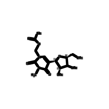 CC(=O)OC[C@H]1O[C@@H](c2cn(COC(=O)C(C)(C)C)c(=O)n(C)c2=O)[C@@H](OC(C)=O)C1OC(C)=O